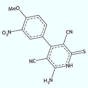 COc1ccc(-c2c(C#N)c(N)[nH]c(=S)c2C#N)cc1[N+](=O)[O-]